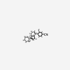 Cc1cc(C#N)ccc1C1=CCCc2c1cnn2C1CCCCO1